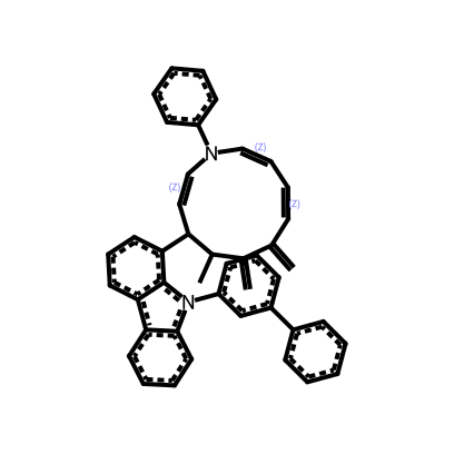 C=C1/C=C\C=C/N(c2ccccc2)/C=C\C(c2cccc3c4ccccc4n(-c4cccc(-c5ccccc5)c4)c23)C(C)C1=C